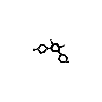 [O-][S+]1CCN(c2cc(N3CCNCC3)c(F)cc2F)CC1